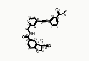 COC(=O)c1cccc(C#Cc2ccnc(CNC(=O)c3ccc4c(c3)[C@](C)(C#N)CO4)c2)c1